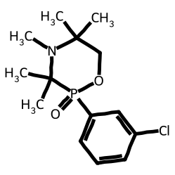 CN1C(C)(C)COP(=O)(c2cccc(Cl)c2)C1(C)C